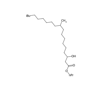 CCCOC(=O)CC(O)CCCCCCC(C)CCCCCCC(C)CC